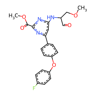 COCC(C=O)Nc1cc(-c2ccc(Oc3ccc(F)cc3)cc2)nc(C(=O)OC)n1